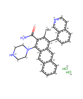 CCCCc1c(C(N)=O)c(N2CCNCC2)c2cc3ccccc3cc2c1-c1cccc2ccncc12.Cl.Cl